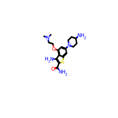 CN(C)CCOc1cc(N2CCC(N)CC2)cc2sc(C(N)=O)c(N)c12